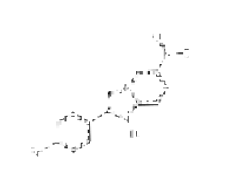 Br.O=[N+]([O-])c1ccc2nc(-c3ccc(Br)cc3)cn2c1